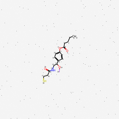 CCCCC(=O)Oc1ccc(C(CNC(=O)CCS)OI)cc1